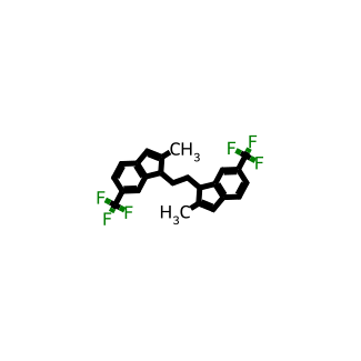 CC1=Cc2ccc(C(F)(F)F)cc2C1CCC1C(C)=Cc2ccc(C(F)(F)F)cc21